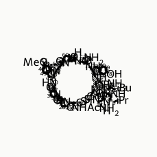 CC[C@H](C)[C@H](NC(=O)[C@H](CC(C)C)NC(=O)[C@H](CN)NC(=O)[C@@H]1CSSC[C@H](NC(C)=O)C(=O)N2CCC[C@H]2C(=O)N2CCC[C@H]2C(=O)N[C@@H](Cc2ccc(OC)cc2)C(=O)N[C@@H](CC(C)C)C(=O)N2CCC[C@H]2C(=O)N[C@@H](CN)C(=O)N[C@@H](Cc2ccc(O)cc2)C(=O)N[C@@H](CC(C)C)C(=O)N1)C(N)=O